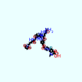 CCn1cc(C(=O)O)c(=O)c2cc(F)c(N3CCN(C(=O)OCc4ccc(NC(=O)C(CCCNC(N)=O)n5cc(C(NC(=O)CNC(=O)CCCCCN6C(=O)CCC6=O)C(C)C)nn5)cc4)CC3)cc21